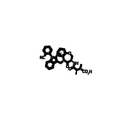 C[C@@H](C(=O)N[C@H]1COc2ccccc2N(Cc2c(C#N)n(-c3ccccc3C#N)c3ccccc23)C1=O)N(C)C(=O)O